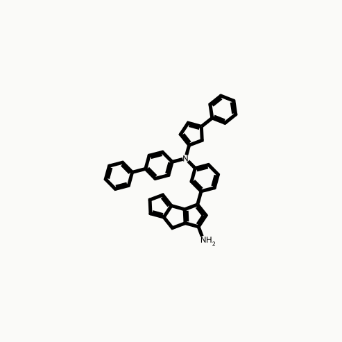 NC1=C=C(c2cccc(N(C3=CC=C(c4ccccc4)C3)c3ccc(-c4ccccc4)cc3)c2)C2=C1CC1=CCC=C12